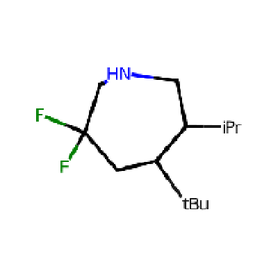 CC(C)C1CNCC(F)(F)CC1C(C)(C)C